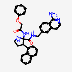 Nc1nccc2cc(CNC(=O)C3(NC(=O)COc4ccccc4)NCCC3c3cccc4ccccc34)ccc12